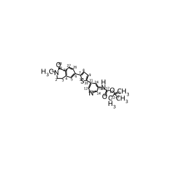 CN1CCc2cc(-c3ccc(-c4cncc(NC(=O)OC(C)(C)C)c4)s3)ccc2C1=O